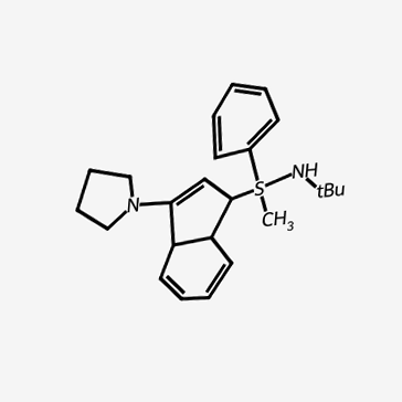 CC(C)(C)NS(C)(c1ccccc1)C1C=C(N2CCCC2)C2C=CC=CC21